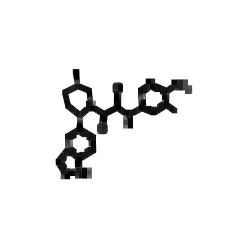 Cc1cc(NC(=O)C(=O)N2C[C@H](C)CC[C@@H]2c2ccc3[nH]ncc3c2)cnc1N